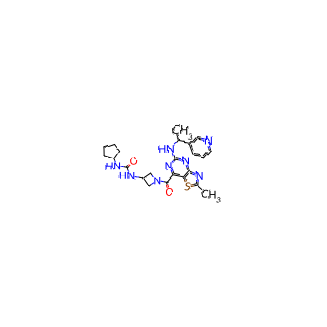 Cc1nc2nc(NC(C)c3cccnc3)nc(C(=O)N3CC(NC(=O)NC4CCCC4)C3)c2s1